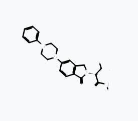 C[C@@H](O)[C@@H](C(=O)NO)N1Cc2cc(N3CCN(c4ccccc4)CC3)ccc2C1=O